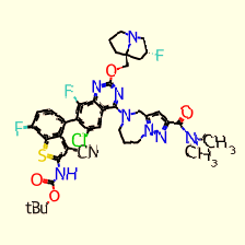 CN(C)C(=O)c1cc2n(n1)CCCN(c1nc(OC[C@@]34CCCN3C[C@H](F)C4)nc3c(F)c(-c4ccc(F)c5sc(NC(=O)OC(C)(C)C)c(C#N)c45)c(Cl)cc13)C2